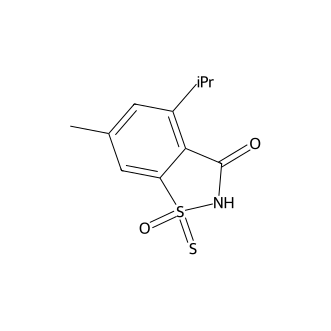 Cc1cc(C(C)C)c2c(c1)S(=O)(=S)NC2=O